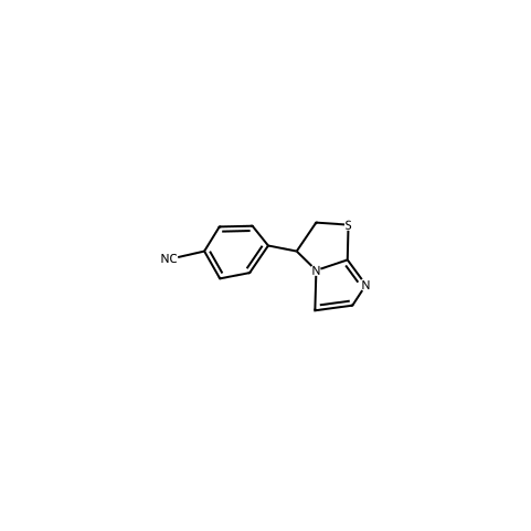 N#Cc1ccc(C2CSc3nccn32)cc1